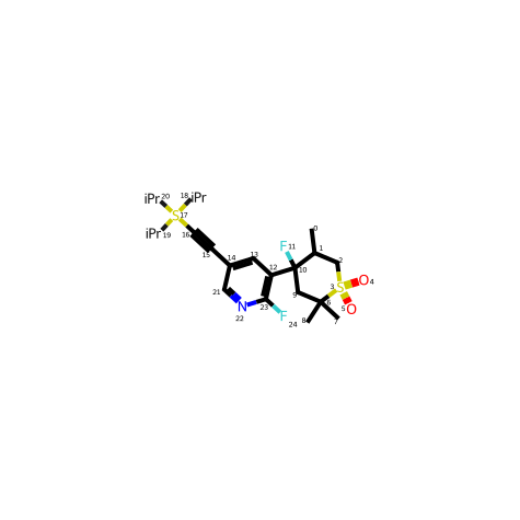 CC1CS(=O)(=O)C(C)(C)CC1(F)c1cc(C#CS(C(C)C)(C(C)C)C(C)C)cnc1F